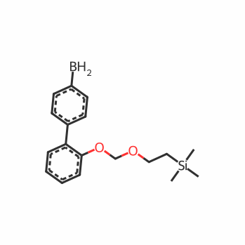 Bc1ccc(-c2ccccc2OCOCC[Si](C)(C)C)cc1